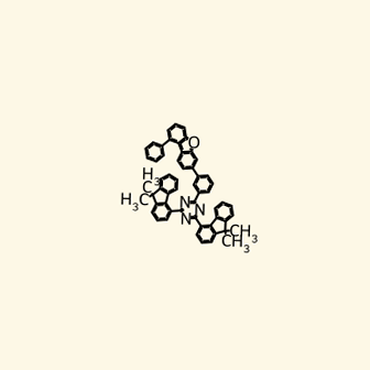 CC1(C)c2ccccc2-c2c(-c3nc(-c4cccc(-c5ccc6c(c5)oc5cccc(-c7ccccc7)c56)c4)nc(-c4cccc5c4-c4ccccc4C5(C)C)n3)cccc21